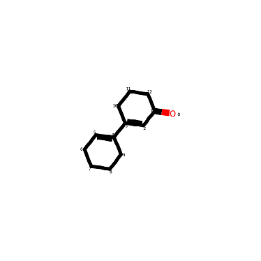 O=C1C=C(C2=CCCCC2)CCC1